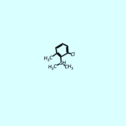 Cc1cccc(Cl)c1[SH](C)C